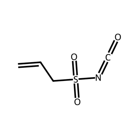 C=CCS(=O)(=O)N=C=O